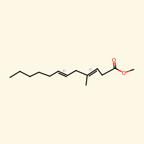 CCCCC/C=C/C/C(C)=C/CC(=O)OC